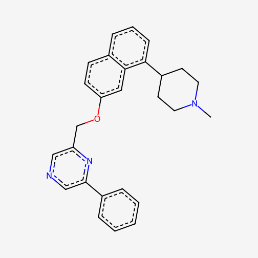 CN1CCC(c2cccc3ccc(OCc4cncc(-c5ccccc5)n4)cc23)CC1